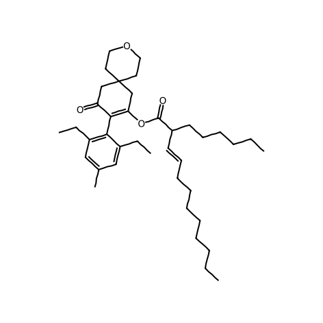 CCCCCCCCC=CC(CCCCCC)C(=O)OC1=C(c2c(CC)cc(C)cc2CC)C(=O)CC2(CCOCC2)C1